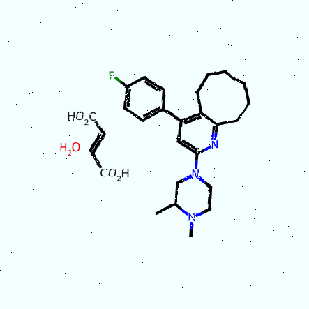 CC1CN(c2cc(-c3ccc(F)cc3)c3c(n2)CCCCCC3)CCN1C.O.O=C(O)C=CC(=O)O